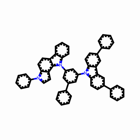 c1ccc(-c2cc(-n3c4ccc(-c5ccccc5)cc4c4cc(-c5ccccc5)ccc43)cc(-n3c4ccccc4c4ccc5c(ccn5-c5ccccc5)c43)c2)cc1